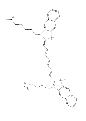 CC(C)C(=O)CCCCCN1/C(=C/C=C/C=C/C=C/C2=[N+](CCCCS(=O)(=O)[O-])c3cc4ccccc4cc3C2(C)C)C(C)(C)c2cc3ccccc3cc21